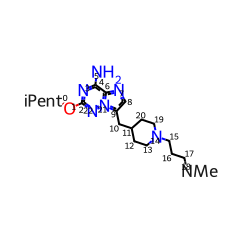 CCC[C@H](C)Oc1nc(N)c2ncc(CC3CCN(CCCNC)CC3)n2n1